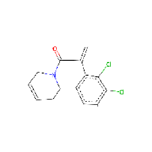 C=C(C(=O)N1CC=CCC1)c1cc[c]c(Cl)c1Cl